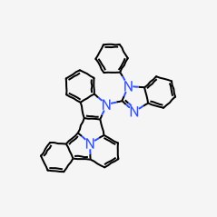 c1ccc(-n2c(-n3c4ccccc4c4c3c3cccc5c6ccccc6c4n53)nc3ccccc32)cc1